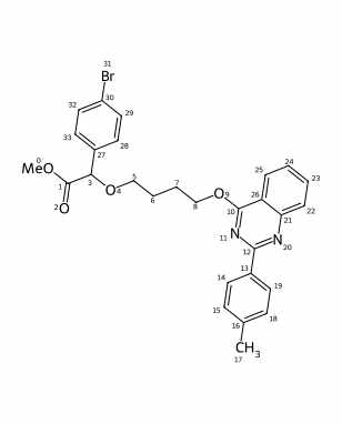 COC(=O)C(OCCCCOc1nc(-c2ccc(C)cc2)nc2ccccc12)c1ccc(Br)cc1